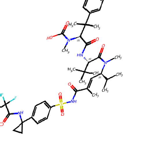 CC(=C[C@H](C(C)C)N(C)C(=O)[C@@H](NC(=O)[C@@H](N(C)C(=O)O)C(C)(C)c1ccccc1)C(C)(C)C)C(=O)NS(=O)(=O)c1ccc(C2(NC(=O)C(F)(F)F)CC2)cc1